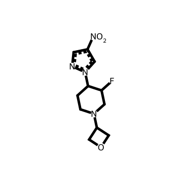 O=[N+]([O-])c1cnn(C2CCN(C3COC3)CC2F)c1